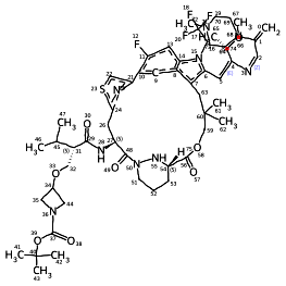 C=C(/C=N\C(=C\c1c2c3cc(c(F)cc3n1CC(F)(F)F)-c1csc(n1)C[C@H](NC(=O)[C@H](COC1CN(C(=O)OC(C)(C)C)C1)C(C)C)C(=O)N1CCC[C@H](N1)C(=O)OCC(C)(C)C2)[C@H](C)OC)N1CCN(C)CC1